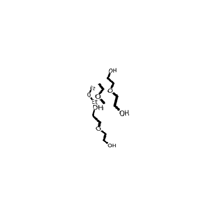 CCOC.CCOCC.OCCOCCO.OCCOCCO